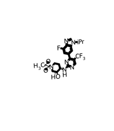 CC(C)n1cnc2c(F)cc(-c3nc(N[C@@H]4CCN(S(C)(=O)=O)C[C@H]4O)ncc3C(F)(F)F)cc21